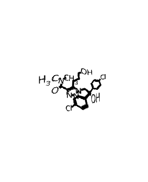 CN(C)C(=O)c1nnn(CC(O)(c2ccc(Cl)cc2)c2ccc(Cl)cc2)c1CCCO